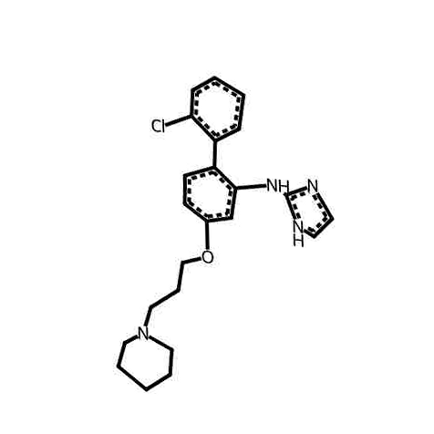 Clc1ccccc1-c1ccc(OCCCN2CCCCC2)cc1Nc1ncc[nH]1